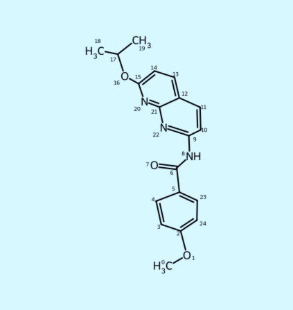 COc1ccc(C(=O)Nc2ccc3ccc(OC(C)C)nc3n2)cc1